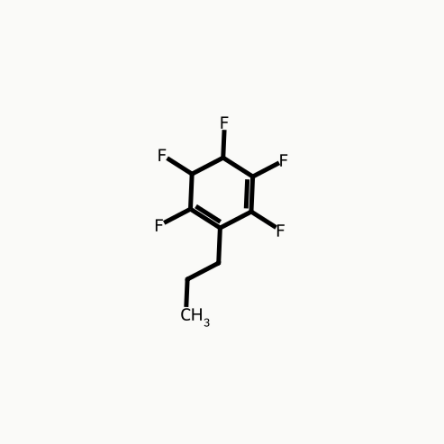 CCCC1=C(F)C(F)C(F)C(F)=C1F